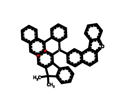 CC1(C)c2ccccc2-c2c(N(c3ccc4ccc5oc6ccccc6c5c4c3)c3ccccc3-c3cccc4ccccc34)cccc21